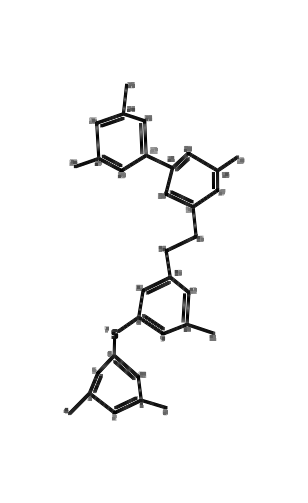 Cc1cc(C)cc(Sc2cc(C)cc(CCc3cc(C)cc(-c4cc(C)cc(C)c4)c3)c2)c1